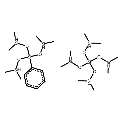 C[SiH](C)O[Si](O[SiH](C)C)(O[SiH](C)C)O[SiH](C)C.C[SiH](C)O[Si](O[SiH](C)C)(O[SiH](C)C)c1ccccc1